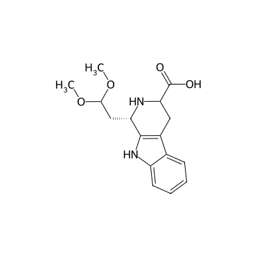 COC(C[C@@H]1NC(C(=O)O)Cc2c1[nH]c1ccccc21)OC